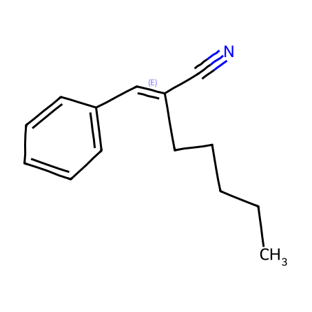 CCCCC/C(C#N)=C\c1ccccc1